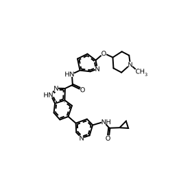 CN1CCC(Oc2ccc(NC(=O)c3n[nH]c4ccc(-c5cncc(NC(=O)C6CC6)c5)cc34)cn2)CC1